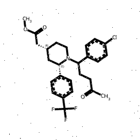 COC(=O)C[C@@H]1CCN(C(CCC(C)=O)c2ccc(Cl)cc2)[C@H](c2ccc(C(F)(F)F)cc2)C1